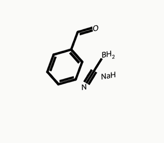 BC#N.O=Cc1ccccc1.[NaH]